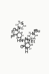 CCC1(n2nc(Nc3ccc(C(=O)N4CCSCC4)c(C(F)F)c3)c3c(=O)[nH]ccc32)CCN(C(C)(C)C)CC1